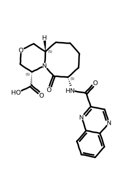 O=C(N[C@H]1CCCC[C@H]2COC[C@@H](C(=O)O)N2C1=O)c1cnc2ccccc2n1